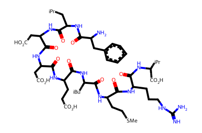 CCC(C)C(NC(=O)C(CCC(=O)O)NC(=O)C(CC(=O)O)NC(=O)C(CC(=O)O)NC(=O)C(CC(C)C)NC(=O)C(N)Cc1ccccc1)C(=O)NC(CCSC)C(=O)NC(CCCNC(=N)N)C(=O)NC(C(=O)O)C(C)C